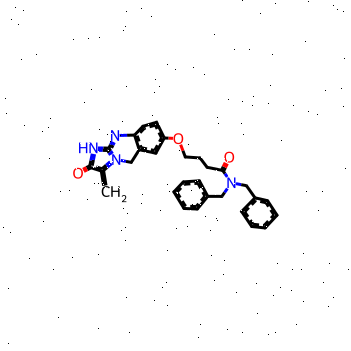 C=c1c(=O)[nH]c2n1Cc1cc(OCCCC(=O)N(Cc3ccccc3)Cc3ccccc3)ccc1N=2